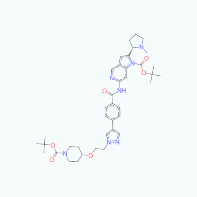 CN1CCC[C@@H]1c1cc2cnc(NC(=O)c3ccc(-c4cnn(CCOC5CCN(C(=O)OC(C)(C)C)CC5)c4)cc3)cc2n1C(=O)OC(C)(C)C